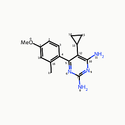 COc1ccc(-c2nc(N)nc(N)c2C2CC2)c(C)c1